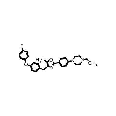 CCN1CCN(c2ccc(-c3nc(Cc4ccc(Oc5ccc(F)cc5)cc4)c(C)o3)cc2)CC1